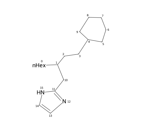 CCCCCCC(CCC1CCCCC1)Cc1ncc[nH]1